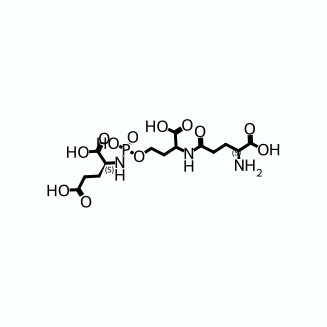 N[C@@H](CCC(=O)NC(CCOP(=O)(O)N[C@@H](CCC(=O)O)C(=O)O)C(=O)O)C(=O)O